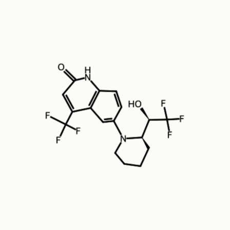 O=c1cc(C(F)(F)F)c2cc(N3CCCC[C@@H]3[C@@H](O)C(F)(F)F)ccc2[nH]1